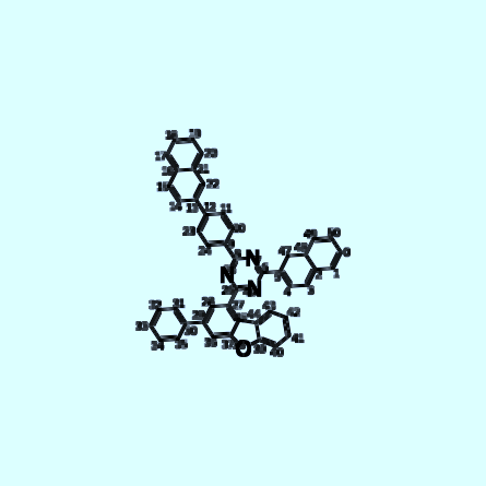 C1=CC2=CC=C(c3nc(-c4ccc(-c5ccc6ccccc6c5)cc4)nc(-c4cc(-c5ccccc5)cc5oc6ccccc6c45)n3)CC2C=C1